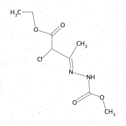 CCOC(=O)C(Cl)/C(C)=N/NC(=O)OC